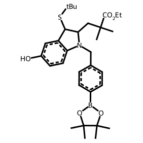 CCOC(=O)C(C)(C)CC1C(SC(C)(C)C)c2cc(O)ccc2N1Cc1ccc(B2OC(C)(C)C(C)(C)O2)cc1